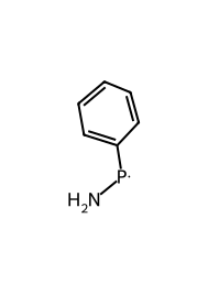 N[P]c1ccccc1